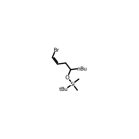 CCCCC(C/C=C\Br)O[Si](C)(C)C(C)(C)C